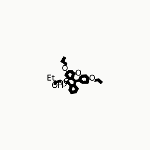 C=CCOc1ccc2c(c1)Oc1cc(OCC=C)ccc1C2c1ccccc1C(=O)OCC(O)CC